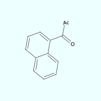 CC(=O)C(=O)c1cccc2ccccc12